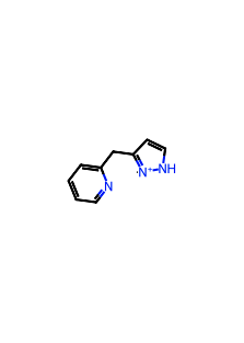 C1=CC(Cc2ccccn2)=[N+]N1